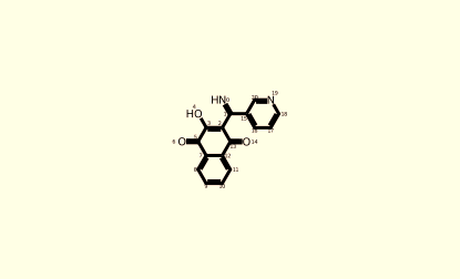 N=C(C1=C(O)C(=O)c2ccccc2C1=O)c1cccnc1